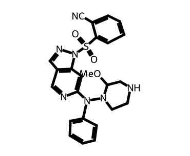 COC1CNCCN1N(c1ccccc1)c1cc2c(cn1)cnn2S(=O)(=O)c1ccccc1C#N